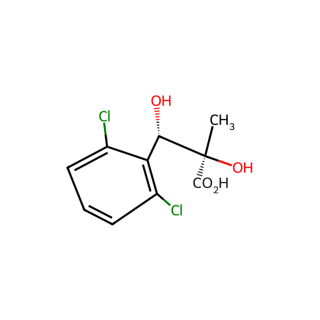 C[C@](O)(C(=O)O)[C@@H](O)c1c(Cl)cccc1Cl